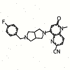 Cn1c(=O)cc(N2CC3CN(Cc4ccc(F)cc4)CC3C2)c2nc(C#N)ccc21